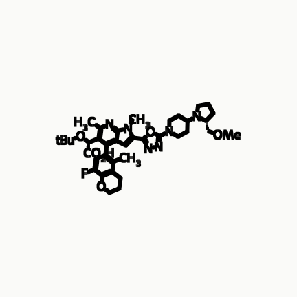 COC[C@H]1CCCN1C1CCN(c2nnc(-c3cc4c(-c5cc(F)c6c(c5C)CCCO6)c([C@H](OC(C)(C)C)C(=O)O)c(C)nc4n3C)o2)CC1